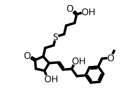 COCc1cccc(CC(O)C=CC2C(O)CC(=O)C2CCSCCCC(=O)O)c1